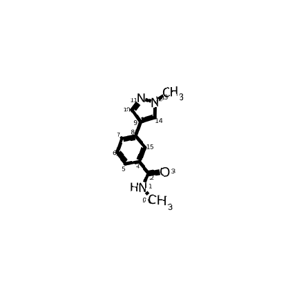 CNC(=O)c1c[c]cc(-c2cnn(C)c2)c1